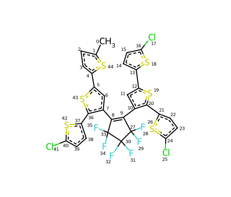 Cc1ccc(-c2cc(C3=C(c4cc(-c5ccc(Cl)s5)sc4-c4ccc(Cl)s4)C(F)(F)C(F)(F)C3(F)F)c(-c3ccc(Cl)s3)s2)s1